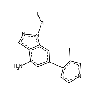 Cc1cnccc1-c1cc(N)c2cnn(PI)c2c1